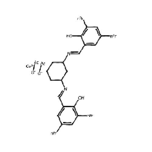 CC(=O)[O-].CC(=O)[O-].CCCc1cc(C=NC2CCCC(N=Cc3cc(CCC)cc(CCC)c3O)C2)c(O)c(CCC)c1.[Co+2]